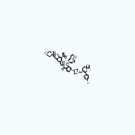 N=C1C([N+](=O)[O-])=CC(SNC(=O)c2ccc(N3CCN(CC4=C(c5ccc(Cl)cc5)CC5(CCC5)CC4)CC3)cc2Oc2cnc3[nH]ccc3c2)=C/C1=C/NC1CCOCC1